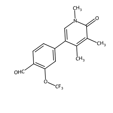 Cc1c(-c2ccc(C=O)c(OC(F)(F)F)c2)cn(C)c(=O)c1C